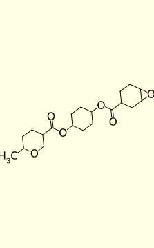 CC1CCC(C(=O)OC2CCC(OC(=O)C3CCC4OC4C3)CC2)CO1